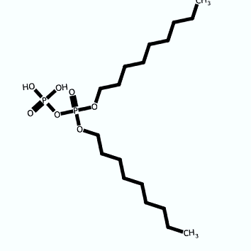 CCCCCCCCCOP(=O)(OCCCCCCCCC)OP(=O)(O)O